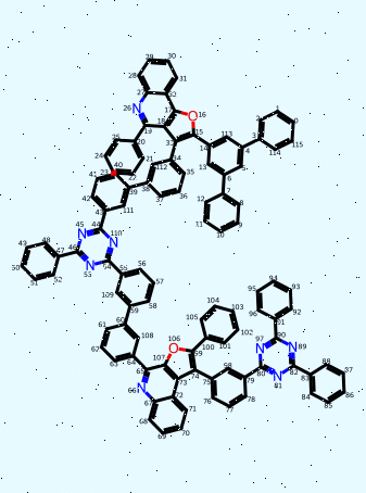 c1ccc(-c2cc(-c3ccccc3)cc(-c3oc4c(c(-c5ccccc5)nc5ccccc54)c3-c3cccc(-c4cccc(-c5nc(-c6ccccc6)nc(-c6cccc(-c7cccc(-c8nc9ccccc9c9c(-c%10cccc(-c%11nc(-c%12ccccc%12)nc(-c%12ccccc%12)n%11)c%10)c(-c%10ccccc%10)oc89)c7)c6)n5)c4)c3)c2)cc1